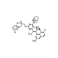 C#Cc1c(F)ccc2cc(O)cc(-c3c(Cl)cc4c(N5CC6CCC(C5)N6)nc(OCC5(CN6C[C@@H]7C[C@H]6CO7)CC5)nc4c3C)c12